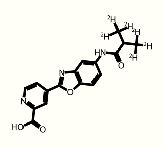 [2H]C([2H])([2H])C(C(=O)Nc1ccc2oc(-c3ccnc(C(=O)O)c3)nc2c1)C([2H])([2H])[2H]